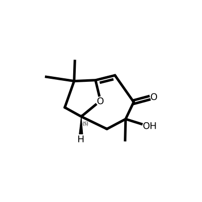 CC1(C)C[C@H]2CC(C)(O)C(=O)C=C1O2